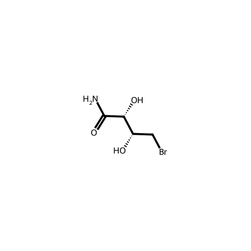 NC(=O)[C@H](O)[C@@H](O)CBr